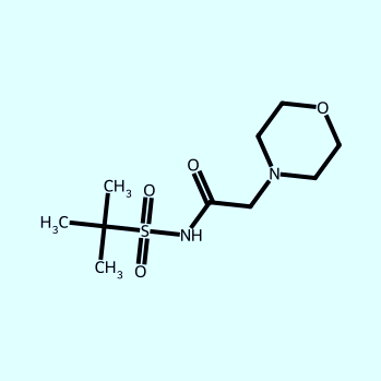 CC(C)(C)S(=O)(=O)NC(=O)CN1CCOCC1